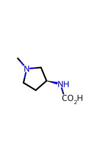 CN1CC[C@H](NC(=O)O)C1